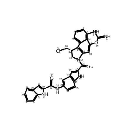 N=C1Nc2cccc3c4c(cc(c23)O1)N(C(=O)c1cc2cc(NC(=O)c3cc5ccccc5[nH]3)ccc2[nH]1)C[C@H]4CCl